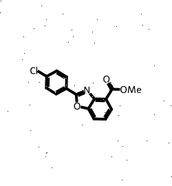 COC(=O)c1cccc2oc(-c3ccc(Cl)cc3)nc12